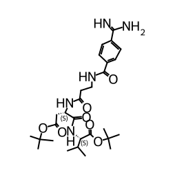 CC(C)[C@H](NC(=O)[C@H](CC(=O)OC(C)(C)C)NC(=O)CCNC(=O)c1ccc(C(=N)N)cc1)C(=O)OC(C)(C)C